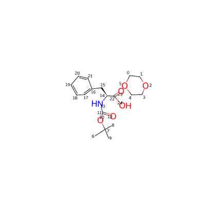 C1COCCO1.CC(C)(C)OC(=O)N[C@@H](Cc1ccccc1)C(=O)O